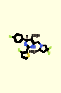 C[C@@]1(c2ccc(F)cc2)N=C(c2sccc2F)NC(CN2CC(F)(F)C[C@H]2C(=O)O)=C1C(=O)O